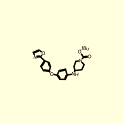 CC(C)(C)OC(=O)N1CCC(Nc2ccc(Oc3ccc(-c4ncco4)cc3)cc2)CC1